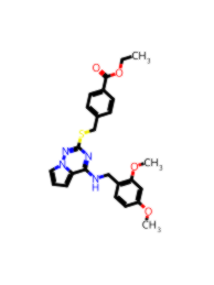 CCOC(=O)c1ccc(CSc2nc(NCc3ccc(OC)cc3OC)c3cccn3n2)cc1